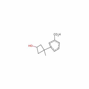 CC1(c2cccc(C(=O)O)c2)CC(O)C1